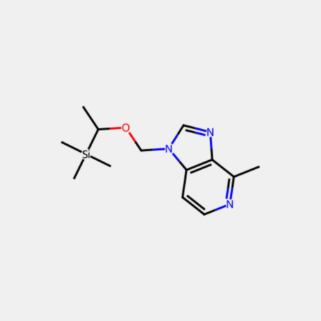 Cc1nccc2c1ncn2COC(C)[Si](C)(C)C